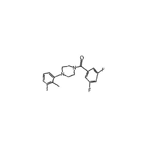 Cc1cccc(N2CCN(C(=O)c3cc(F)cc(F)c3)CC2)c1C